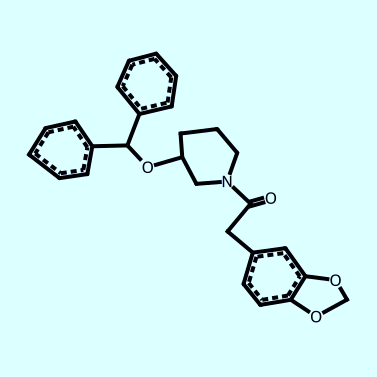 O=C(Cc1ccc2c(c1)OCO2)N1CCCC(OC(c2ccccc2)c2ccccc2)C1